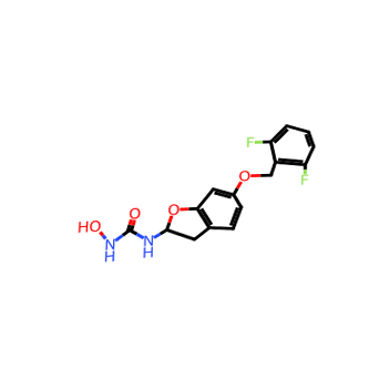 O=C(NO)NC1Cc2ccc(OCc3c(F)cccc3F)cc2O1